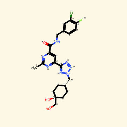 Cc1nc(C(=O)NCc2ccc(F)c(Cl)c2)cc(-c2nnn(C[C@H]3CC[C@@](O)(CO)CC3)n2)n1